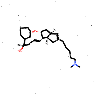 CN(C)CCCCCC1=C[C@H]2C[C@@H](O)[C@H](/C=C/C[C@](C)(O)C3CCCCC3)[C@H]2C1